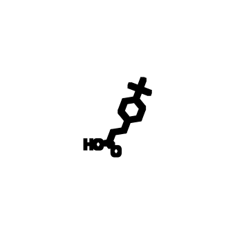 CC(C)(C)C1CCC(CCC(=O)O)CC1